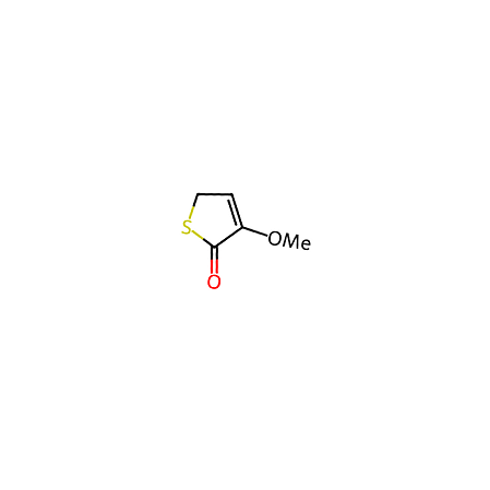 COC1=CCSC1=O